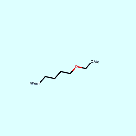 C[CH]CCCCCCCOCOC